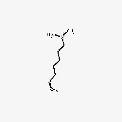 COCCCCC[SiH](C)C